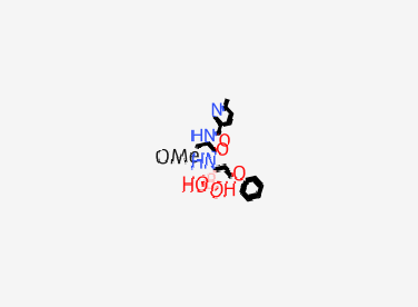 COCC(NC(=O)c1ccc(C)nc1)C(=O)NC(CCOc1ccccc1)B(O)O